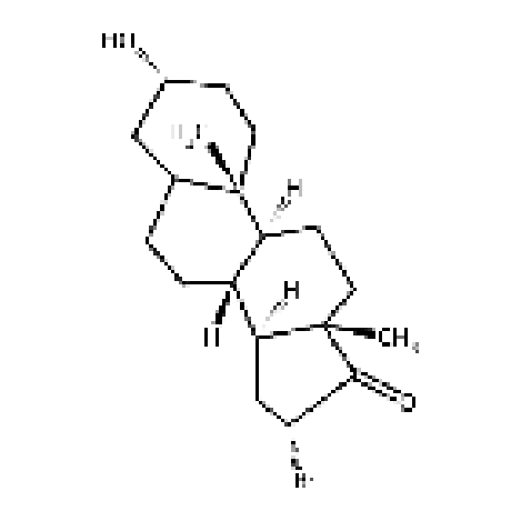 C[C@]12CC[C@@H](O)CC1CC[C@@H]1[C@@H]2CC[C@]2(C)C(=O)[C@H](Br)C[C@@H]12